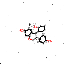 COc1ccccc1C1c2ccc(O)cc2OCC1c1ccc(O)cc1